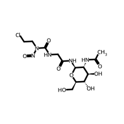 CC(=O)N[C@@H]1[C@@H](O)[C@H](O)[C@@H](CO)O[C@H]1NC(=O)CNC(=O)N(CCCl)N=O